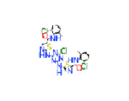 Cc1cccc(Cl)c1NC(=O)c1ncc(Nc2nc(Cl)nc(NC3=NCC(C(=O)Nc4c(C)cccc4Cl)S3)n2)s1